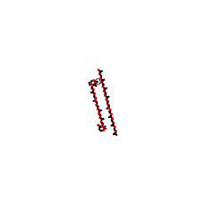 CC(C)=CCC/C(C)=C/C=C/C(C)=C/C=C/C(C)=C/C=C/C=C(C)/C=C/C=C(C)/C=C/C=C(\C)CCC=C(C)C.CC1=C(/C=C/C(C)=C/C=C/C(C)=C/C=C/C=C(C)/C=C/C=C(C)/C=C/C2=C(C)C(=O)CCC2(C)C)C(C)(C)CCC1